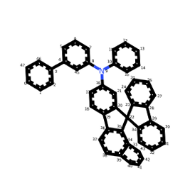 c1ccc(-c2cccc(N(c3ccccc3)c3ccc4c(c3)C3(c5ccccc5-c5ccccc53)c3c-4ccc4ccccc34)c2)cc1